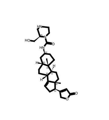 C[C@]12CC[C@H](NC(=O)N3CCNC[C@@H]3CO)C[C@H]1CC[C@H]1C3=CC[C@H](C4=CC(=O)OC4)[C@@]3(C)CC[C@@H]12